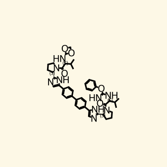 CC(C)[C@H](NC(=N)Oc1ccccc1)C(=O)N1CCC[C@H]1c1ncc(-c2ccc(-c3ccc(-c4cnc([C@@H]5CCCN5C(=O)[C@@H](NC5OCO5)C(C)C)[nH]4)cc3)cc2)[nH]1